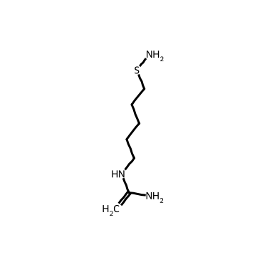 C=C(N)NCCCCCSN